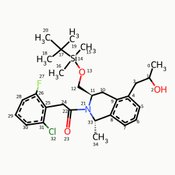 CC(O)Cc1cccc2c1C[C@H](CO[Si](C)(C)C(C)(C)C)N(C(=O)Cc1c(F)cccc1Cl)[C@H]2C